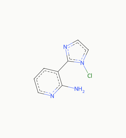 Nc1ncccc1-c1nccn1Cl